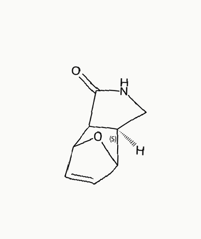 O=C1NC[C@H]2C3C=CC(O3)C12